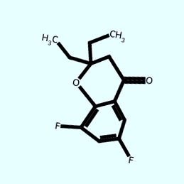 CCC1(CC)CC(=O)c2cc(F)cc(F)c2O1